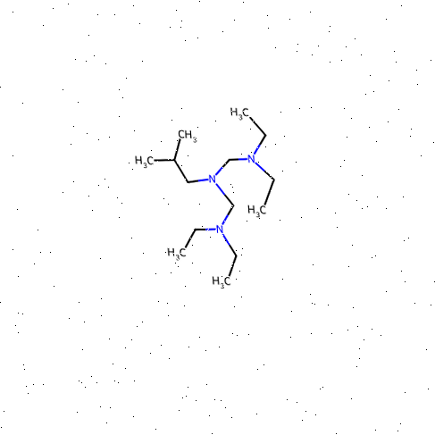 CCN(CC)CN(CC(C)C)CN(CC)CC